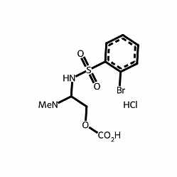 CNC(COC(=O)O)NS(=O)(=O)c1ccccc1Br.Cl